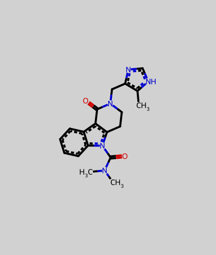 Cc1[nH]cnc1CN1CCc2c(c3ccccc3n2C(=O)N(C)C)C1=O